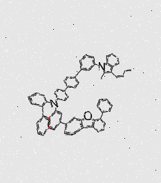 C=C/C=C\c1c(C)n(-c2cccc(-c3ccc(-c4ccc(N(c5cccc(-c6ccc7c(c6)oc6c(-c8ccccc8)cccc67)c5)c5ccccc5-c5ccccc5)cc4)cc3)c2)c2ccccc12